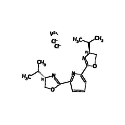 CC(C)[C@H]1COC(c2cccc(C3=N[C@@H](C(C)C)CO3)n2)=N1.[Cl-].[Cl-].[V+2]